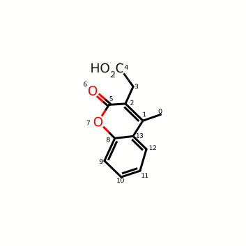 Cc1c(CC(=O)O)c(=O)oc2ccccc12